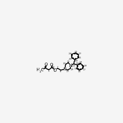 CC(=O)CC(=O)OCCN1CCN(C(c2ccccc2)c2ccccc2)CC1